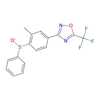 Cc1cc(-c2noc(C(F)(F)F)n2)ccc1[S+]([O-])c1ccccc1